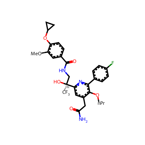 CCCOc1c(CC(N)=O)cc([C@@](O)(CNC(=O)c2ccc(OC3CC3)c(OC)c2)C(F)(F)F)nc1-c1ccc(F)cc1